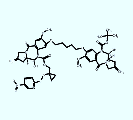 C=C1C[C@H]2[C@H](O)N(C(=O)OCC3(SSc4ccc([N+](=O)[O-])cn4)CC3)c3cc(OCCCCCOc4cc5c(cc4OC)C(=O)N4CC(=C)C[C@H]4[C@H](O)N5C(=O)OC(C)(C)C)c(OC)cc3C(=O)N2C1